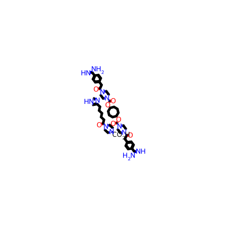 N=C(N)c1ccc(CC(=O)N2CCN(C(=O)O[C@H]3CCC[C@@H](OC(=O)N4CCN(C(=O)Cc5ccc(C(=N)N)cc5)CC4)CCC3)CC2)cc1.O=C(O)N1CCN(C(=O)CCCCCc2c[nH]cn2)CC1